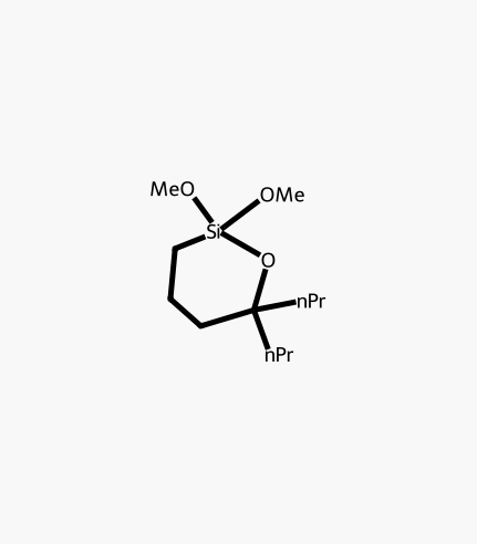 CCCC1(CCC)CCC[Si](OC)(OC)O1